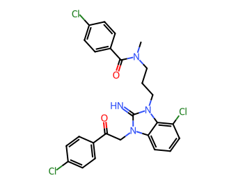 CN(CCCn1c(=N)n(CC(=O)c2ccc(Cl)cc2)c2cccc(Cl)c21)C(=O)c1ccc(Cl)cc1